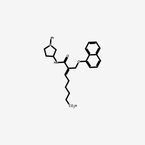 CC(C)N1CCC(NC(=O)/C(=C/CCCCC(=O)O)COc2cccc3ccccc23)C1